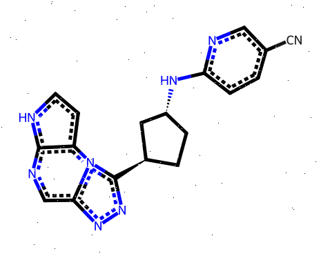 N#Cc1ccc(N[C@@H]2CC[C@@H](c3nnc4cnc5[nH]ccc5n34)C2)nc1